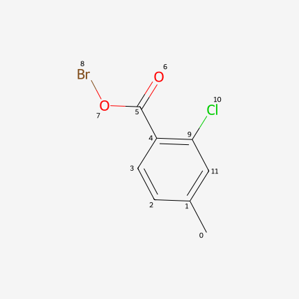 Cc1ccc(C(=O)OBr)c(Cl)c1